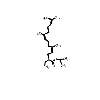 CCN(CC=C(C)CCC=C(C)CCC=C(C)C)C(=O)OC(C)C